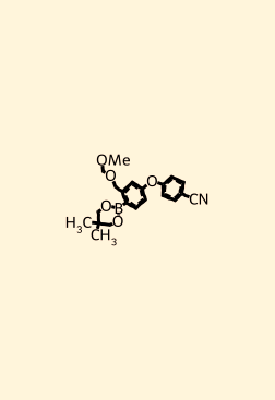 COCOCc1cc(Oc2ccc(C#N)cc2)ccc1B1OCC(C)(C)CO1